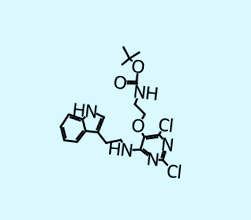 CC(C)(C)OC(=O)NCCOc1c(Cl)nc(Cl)nc1NCCc1c[nH]c2ccccc12